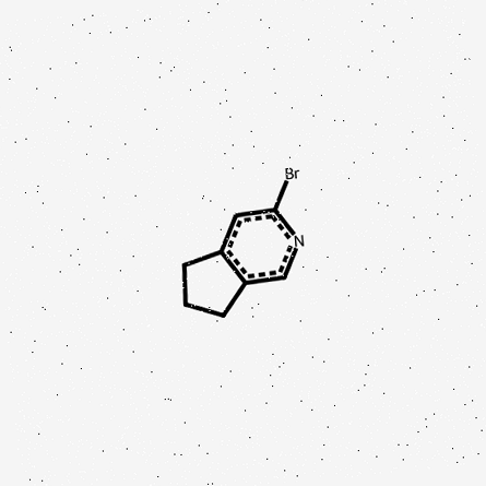 Brc1cc2c(cn1)CCC2